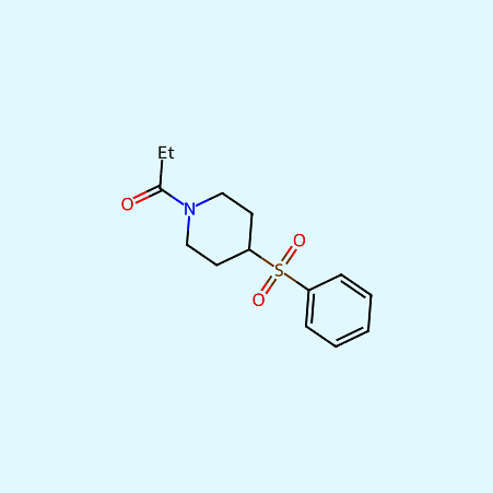 CCC(=O)N1CCC(S(=O)(=O)c2ccccc2)CC1